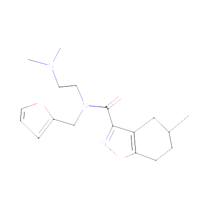 CC1CCc2onc(C(=O)N(CCN(C)C)Cc3ccco3)c2C1